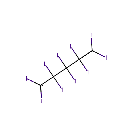 I[C](I)C(I)(I)C(I)(I)C(I)(I)[C](I)I